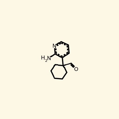 Nc1ncccc1C1(C=O)CCCCC1